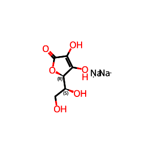 O=C1O[C@H]([C@@H](O)CO)C(O)=C1O.[Na].[Na]